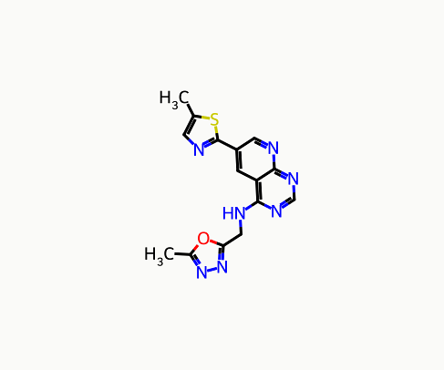 Cc1nnc(CNc2ncnc3ncc(-c4ncc(C)s4)cc23)o1